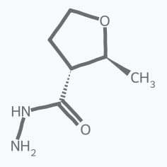 C[C@@H]1OCC[C@H]1C(=O)NN